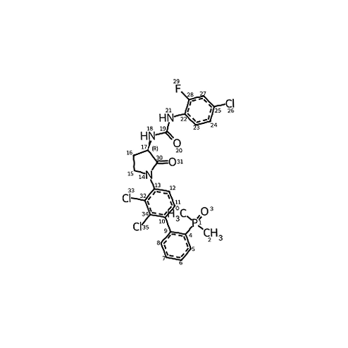 CP(C)(=O)c1ccccc1-c1ccc(N2CC[C@@H](NC(=O)Nc3ccc(Cl)cc3F)C2=O)c(Cl)c1Cl